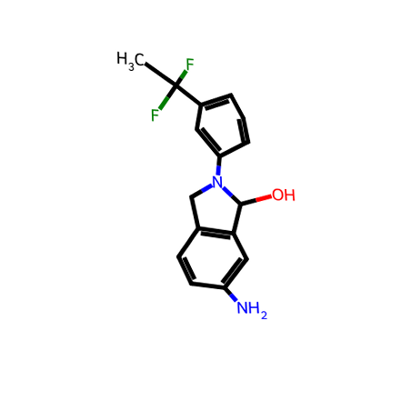 CC(F)(F)c1cccc(N2Cc3ccc(N)cc3C2O)c1